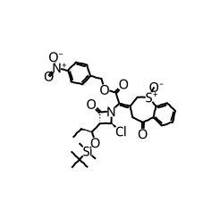 CC[C@H](O[Si](C)(C)C(C)(C)C)[C@@H]1C(=O)N(C(C(=O)OCc2ccc([N+](=O)[O-])cc2)=C2CC(=O)c3ccccc3[S+]([O-])C2)[C@H]1Cl